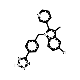 Cc1c(-c2cccnc2)n(Cc2ccc(-c3nn[nH]n3)cc2)c2ccc(Cl)cc12